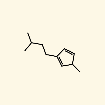 C[C]1C=CC(CCC(C)C)=C1